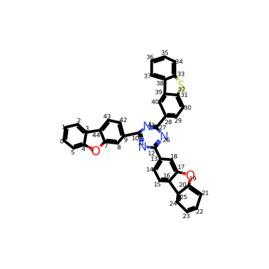 c1ccc2c(c1)oc1cc(-c3nc(-c4ccc5c(c4)oc4ccccc45)nc(-c4ccc5sc6ccccc6c5c4)n3)ccc12